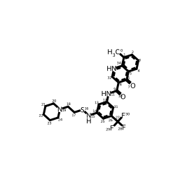 Cc1cccc2c(=O)c(C(=O)Nc3cc(NSCCN4CCCCC4)cc(C(F)(F)F)c3)c[nH]c12